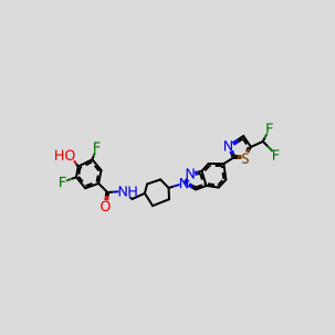 O=C(NCC1CCC(n2cc3ccc(-c4ncc(C(F)F)s4)cc3n2)CC1)c1cc(F)c(O)c(F)c1